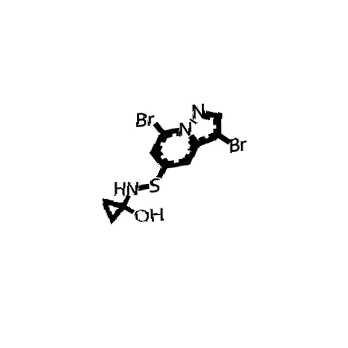 OC1(NSc2cc(Br)n3ncc(Br)c3c2)CC1